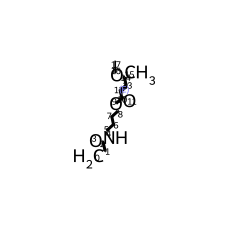 C=CC(=O)NCCCCOC(=O)/C=C/C(C)OI